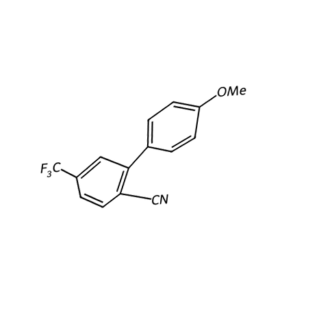 COc1ccc(-c2cc(C(F)(F)F)ccc2C#N)cc1